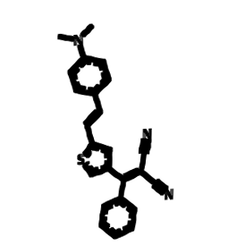 CN(C)c1ccc(C=Cc2cc(C(=C(C#N)C#N)c3ccccc3)cs2)cc1